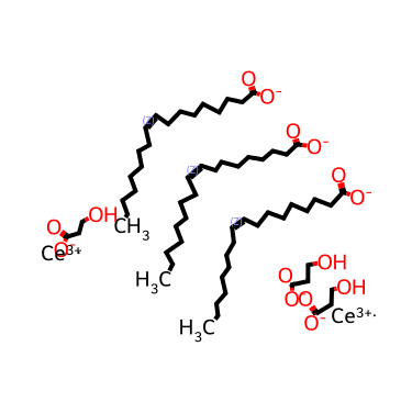 CCCCCCCC/C=C\CCCCCCCC(=O)[O-].CCCCCCCC/C=C\CCCCCCCC(=O)[O-].CCCCCCCC/C=C\CCCCCCCC(=O)[O-].O=C([O-])CCO.O=C([O-])CCO.O=C([O-])CCO.[Ce+3].[Ce+3]